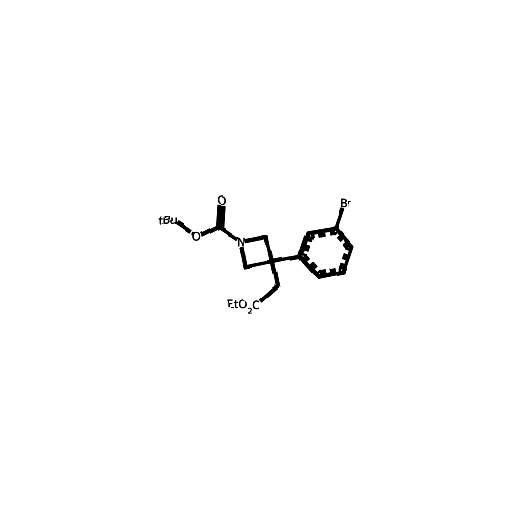 CCOC(=O)CC1(c2cccc(Br)c2)CN(C(=O)OC(C)(C)C)C1